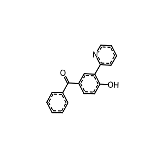 O=C(c1ccccc1)c1ccc(O)c(-c2ccccn2)c1